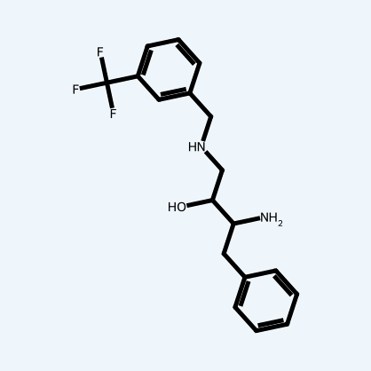 NC(Cc1ccccc1)C(O)CNCc1cccc(C(F)(F)F)c1